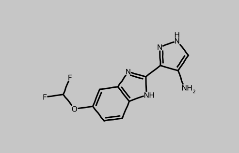 Nc1c[nH]nc1-c1nc2cc(OC(F)F)ccc2[nH]1